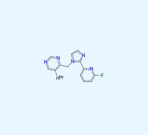 CCCc1cncnc1Cn1ccnc1-c1cccc(F)n1